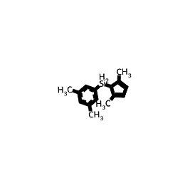 CC1=CC=C(C)[C]1[SiH2]c1cc(C)cc(C)c1